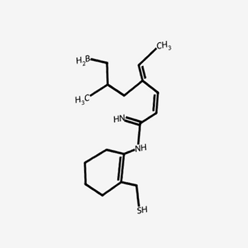 BCC(C)CC(/C=C\C(=N)NC1=C(CS)CCCC1)=C/C